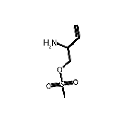 C=CC(N)COS(C)(=O)=O